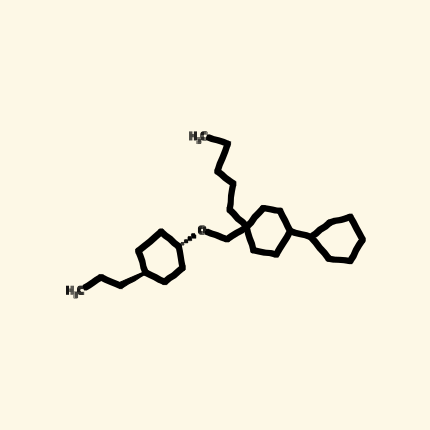 CCCCCC1(CO[C@H]2CC[C@H](CCC)CC2)CCC(C2CCCCC2)CC1